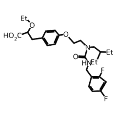 CCOC(Cc1ccc(OCCN(CC(CC)CC)C(=O)NCc2ccc(F)cc2F)cc1)C(=O)O